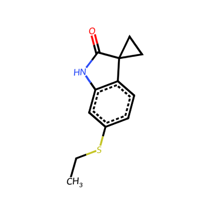 CCSc1ccc2c(c1)NC(=O)C21CC1